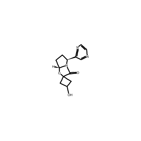 O=C1N2[C@@H](CC[C@H]2c2cnccn2)OC12CC(O)C2